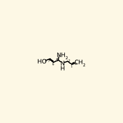 C=CCNC(N)C=CO